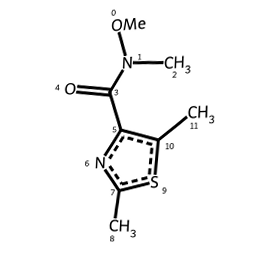 CON(C)C(=O)c1nc(C)sc1C